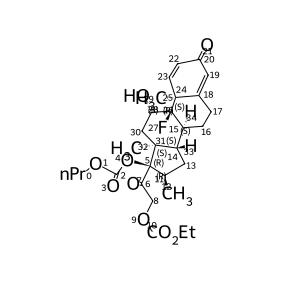 CCCOC(=O)O[C@]1(C(=O)COC(=O)OCC)[C@H](C)C[C@H]2[C@@H]3CCC4=CC(=O)C=C[C@]4(C)[C@@]3(F)[C@@H](O)C[C@@]21C